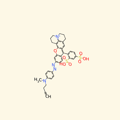 C#CCCN(C)c1ccc(/N=N/c2ccc3c(c2)Oc2c4c5c(cc2=C3c2ccc(S(=O)(=O)O)cc2S(=O)(=O)O)CCC[N+]=5CCC4)cc1